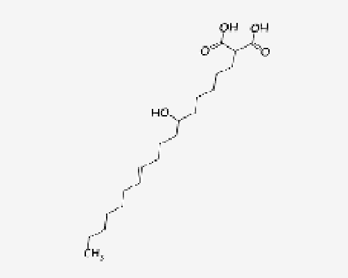 CCCCCCC=CCCCC(O)CCCCCC(C(=O)O)C(=O)O